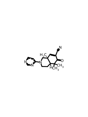 CC1(C)C(=O)C(C#N)=C[C@]2(C)CN(c3ccncn3)CC[C@@H]12